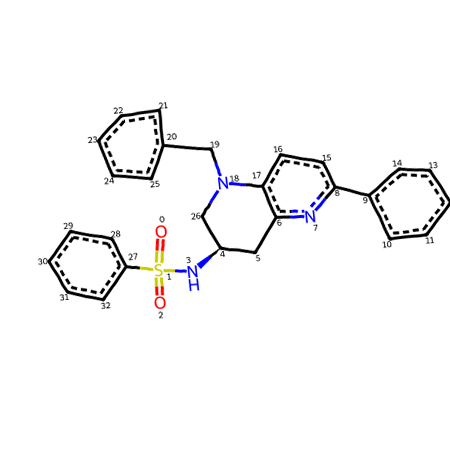 O=S(=O)(N[C@@H]1Cc2nc(-c3ccccc3)ccc2N(Cc2ccccc2)C1)c1ccccc1